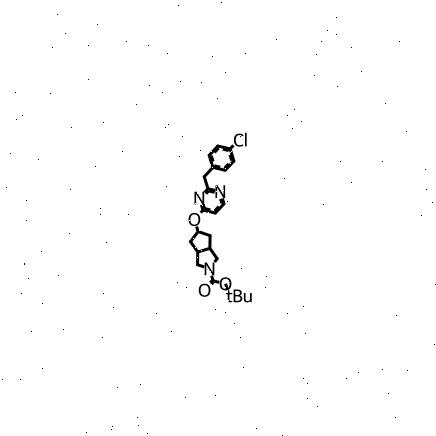 CC(C)(C)OC(=O)N1CC2CC(Oc3ccnc(Cc4ccc(Cl)cc4)n3)CC2C1